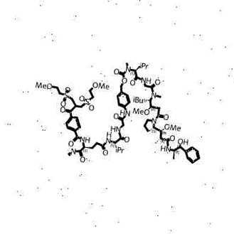 C=NC(=O)[C@H](CCC(=O)N[C@H](C(=O)NCC(=O)Nc1ccc(COC(=O)N(C)[C@H](C(=O)NCC(=O)N(C)C([C@@H](C)CC)[C@@H](CC(=O)N2CCC[C@H]2[C@H](OC)[C@@H](C)C(=O)N[C@H](C)[C@@H](O)c2ccccc2)OC)C(C)C)cc1)C(C)C)NC(=O)c1ccc(C(=O)C(CS(=O)(=O)CCOC)CS(=O)(=O)CCOC)cc1